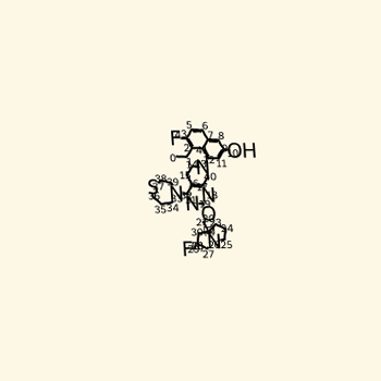 CCc1c(F)ccc2cc(O)cc(N3CCc4c(nc(OC[C@@]56CCCN5C[C@H](F)C6)nc4N4CCCSCC4)C3)c12